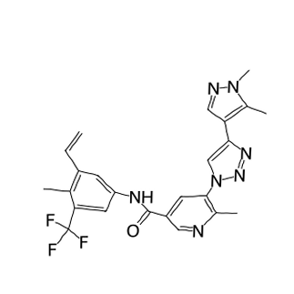 C=Cc1cc(NC(=O)c2cnc(C)c(-n3cc(-c4cnn(C)c4C)nn3)c2)cc(C(F)(F)F)c1C